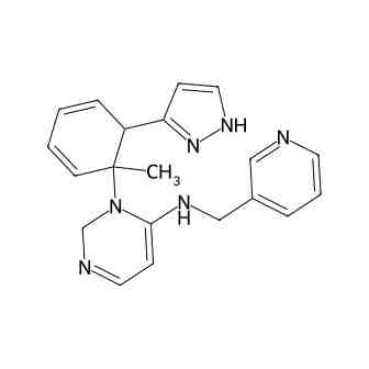 CC1(N2CN=CC=C2NCc2cccnc2)C=CC=CC1c1cc[nH]n1